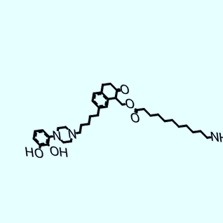 NCCCCCCCCCCC(=O)OCC1C(=O)CCc2ccc(CCCCCN3CCN(c4cccc(O)c4O)CC3)cc21